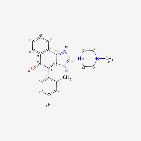 Cc1cc(F)ccc1C1=C2N=C(N3CCN(C)CC3)N=C2c2ccccc2C1=O